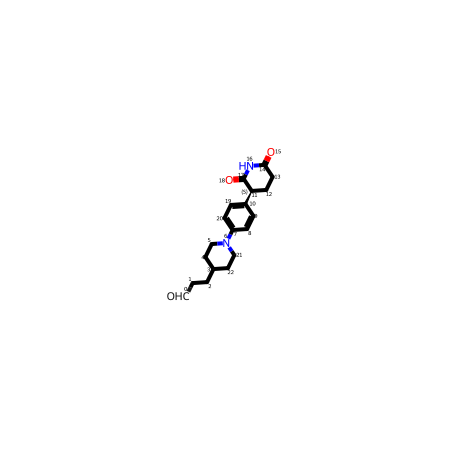 O=CCCC1CCN(c2ccc([C@@H]3CCC(=O)NC3=O)cc2)CC1